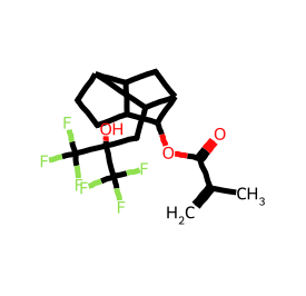 C=C(C)C(=O)OC1C2CCC3C2CC1C3CC(O)(C(F)(F)F)C(F)(F)F